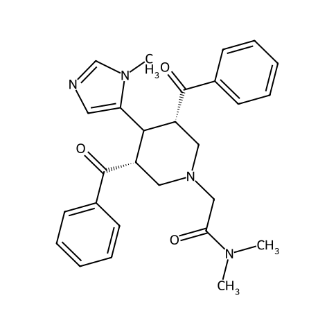 CN(C)C(=O)CN1C[C@H](C(=O)c2ccccc2)C(c2cncn2C)[C@H](C(=O)c2ccccc2)C1